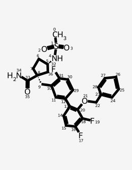 CS(=O)(=O)N[C@H]1CC[C@](Cc2cc(-c3ccc(F)c(F)c3OCc3ccccc3)ccc2F)(C(N)=O)C1